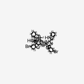 CC(C)(C)[C@]1(C(=O)Nc2c(C(N)=O)oc3ccc(Br)cc23)Cc2ccccc2N1C(=O)O.O=c1[nH]c([C@@H]2Cc3ccccc3N2)nc2c1oc1ccc(Br)cc12